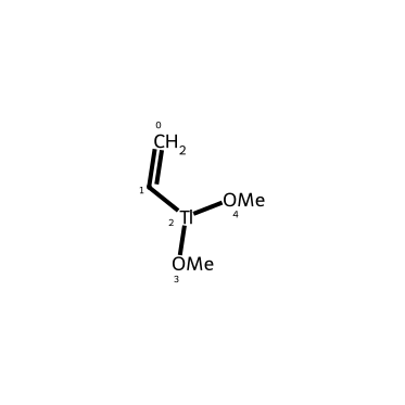 C=[CH][Tl]([O]C)[O]C